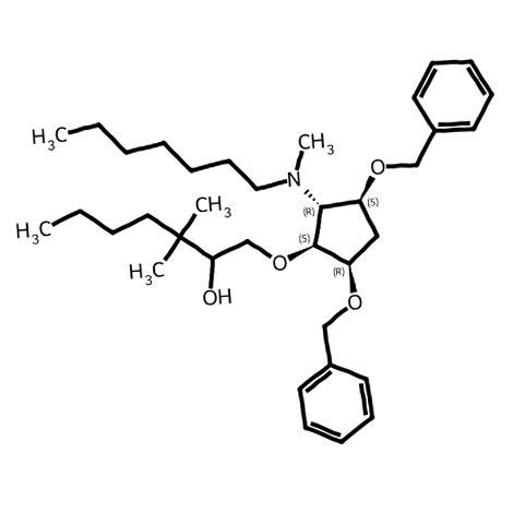 CCCCCCCN(C)[C@H]1[C@H](OCC(O)C(C)(C)CCCC)[C@H](OCc2ccccc2)C[C@@H]1OCc1ccccc1